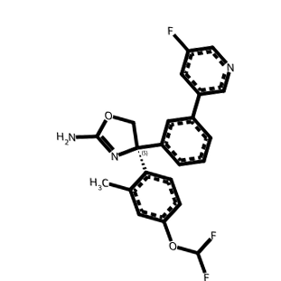 Cc1cc(OC(F)F)ccc1[C@@]1(c2cccc(-c3cncc(F)c3)c2)COC(N)=N1